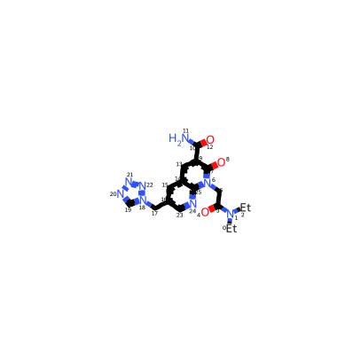 CCN(CC)C(=O)Cn1c(=O)c(C(N)=O)cc2cc(Cn3cnnn3)cnc21